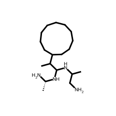 CC(CN)NC(N[C@H](C)N)C(C)C1CCCCCCCCCC1